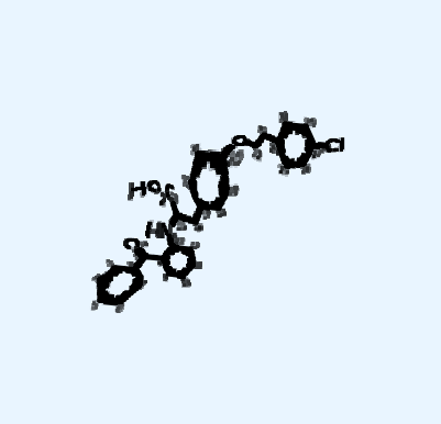 O=C(c1ccccc1)c1ccccc1NC(Cc1ccc(OCCc2ccc(Cl)cc2)cc1)C(=O)O